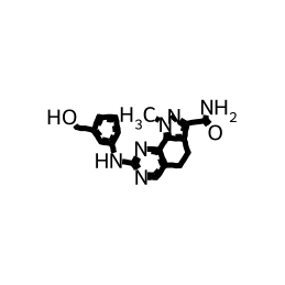 Cn1nc(C(N)=O)c2c1-c1nc(Nc3cccc(CO)c3)ncc1CC2